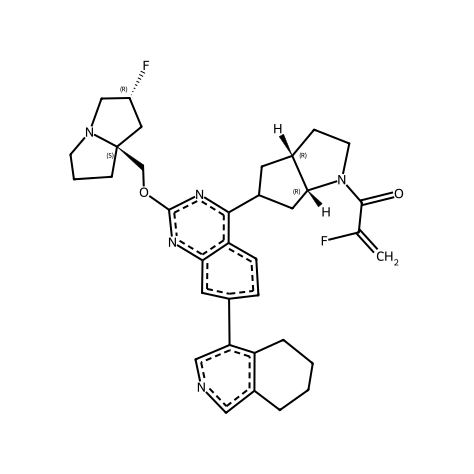 C=C(F)C(=O)N1CC[C@H]2CC(c3nc(OC[C@@]45CCCN4C[C@H](F)C5)nc4cc(-c5cncc6c5CCCC6)ccc34)C[C@H]21